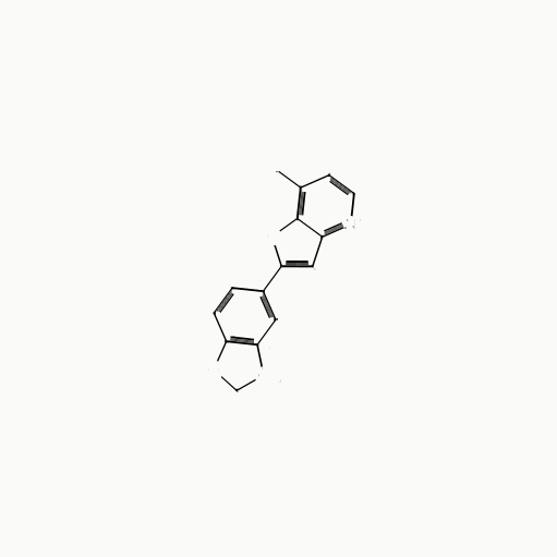 Clc1ccnc2cc(-c3ccc4c(c3)OCO4)oc12